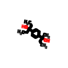 CCC(C)(O)c1ccc(C(O)(CC)CC)cc1